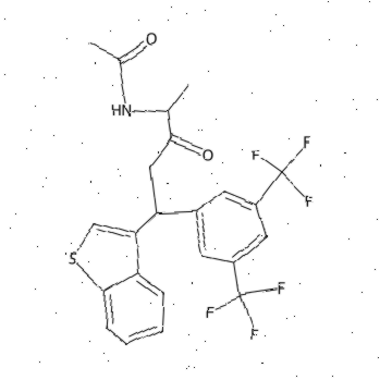 CC(=O)NC(C)C(=O)CC(c1cc(C(F)(F)F)cc(C(F)(F)F)c1)c1csc2ccccc12